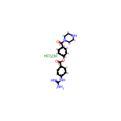 Cl.Cl.N=C(N)Nc1ccc(C(=O)Oc2ccc(C(=O)N3CCNCC3)cc2)cc1